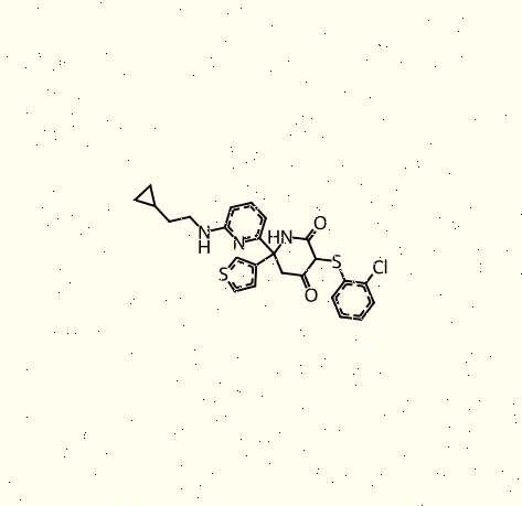 O=C1CC(c2ccsc2)(c2cccc(NCCC3CC3)n2)NC(=O)C1Sc1ccccc1Cl